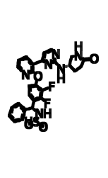 O=C1CC[C@H](Nc2nccc(-c3cccnc3Oc3ccc([C@@H](N[SH](=O)=O)c4ccccc4)c(F)c3F)n2)CN1